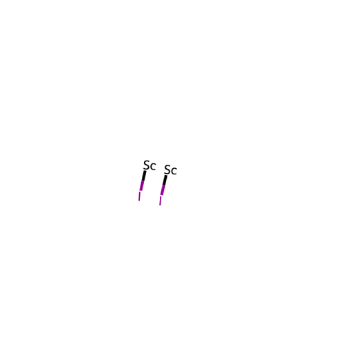 [Sc][I].[Sc][I]